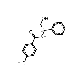 Cc1ccc(C(=O)N[C@H](CO)c2ccccc2)cc1